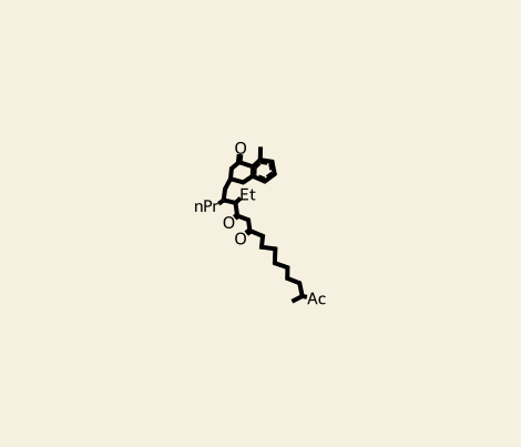 CCCC(CC1CC(=O)c2c(C)cccc2C1)C(CC)C(=O)CC(=O)CCCCCCCC(C)C(C)=O